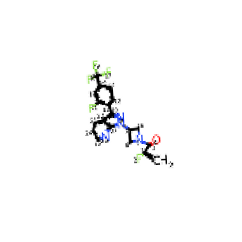 C=C(F)C(=O)N1CC(n2nc(-c3ccc(C(F)(F)F)cc3F)c3cccnc32)C1